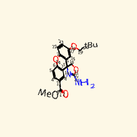 COC(=O)c1ccc2c(c1)C1(COC(N)=N1)c1cc(OCC(C)(C)C)ccc1O2